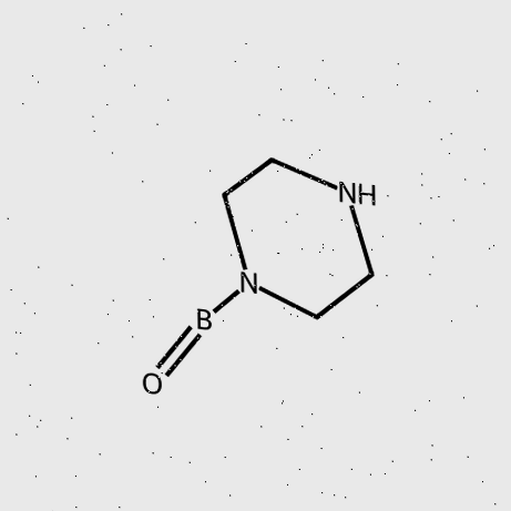 O=BN1CCNCC1